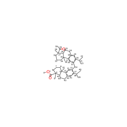 COC(=O)C1(C)CCCC2(C)c3cc(Cc4cc5c(cc4C(C)C)CCC4C(C)(C(C)=O)CCCC54C)c(C(C)C)cc3CCC12